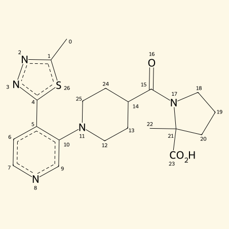 Cc1nnc(-c2ccncc2N2CCC(C(=O)N3CCCC3(C)C(=O)O)CC2)s1